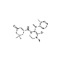 C=C(c1ccccc1C)c1c(NC2=CC(=O)CC(C)(C)C2)ncc(I)c1Br